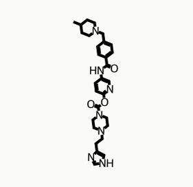 CC1CCN(Cc2ccc(C(=O)Nc3ccc(OC(=O)N4CCN(CCc5c[nH]cn5)CC4)nc3)cc2)CC1